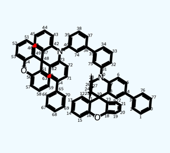 c1ccc(-c2ccc3c(c2)C2(c4ccccc4Oc4ccccc42)c2ccccc2N3c2cccc(-c3cccc(N4c5ccccc5C5(c6ccccc6Oc6ccccc65)c5cc(-c6ccccc6)ccc54)c3)c2)cc1